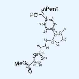 CCCCCC(O)c1ccc(C2=C(C)CCC2CCCc2ccc(C(=O)OC)s2)cc1